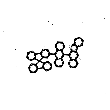 c1ccc2c(c1)-c1ccccc1C21c2ccccc2-c2ccc(-c3c4ccccc4c(-c4c5ccccc5cc5c4oc4ccccc45)c4ccccc34)cc21